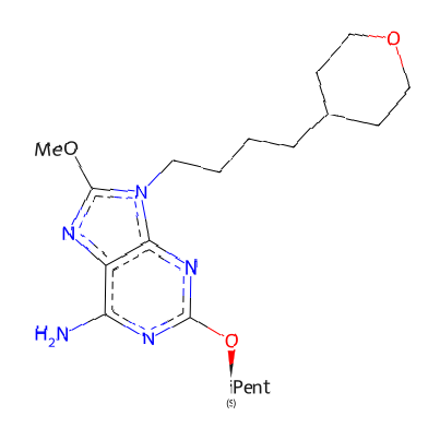 CCC[C@H](C)Oc1nc(N)c2nc(OC)n(CCCCC3CCOCC3)c2n1